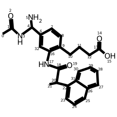 CC(=O)NC(N)c1ccc(CCCC(=O)O)c(NC(=O)C(C)c2cccc3ccccc23)c1